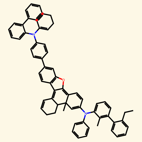 CCc1ccccc1-c1cccc(N(C2=CC3(C)C(=c4oc5cc(-c6ccc(N(C7=CCCC=C7)c7ccccc7-c7ccccc7)cc6)ccc5c4=C4C=CCCC43)C=C2)c2ccccc2)c1C